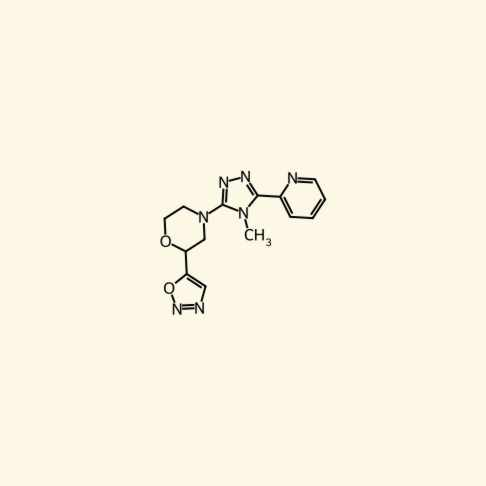 Cn1c(-c2ccccn2)nnc1N1CCOC(c2cnno2)C1